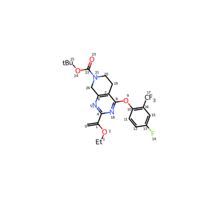 C=C(OCC)c1nc2c(c(Oc3ccc(F)cc3C(F)(F)F)n1)CCN(C(=O)OC(C)(C)C)C2